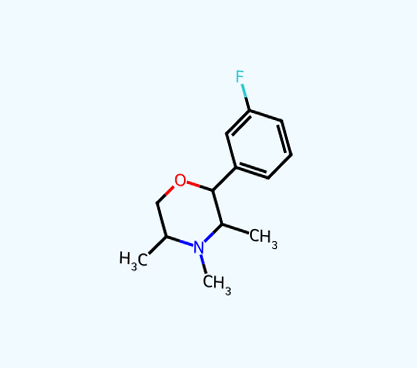 CC1COC(c2cccc(F)c2)C(C)N1C